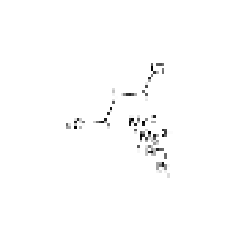 [Br-].[Br-].[CH2-]CCC[CH2-].[Mg+2].[Mg+2]